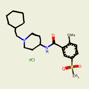 COc1ccc(S(C)(=O)=O)cc1C(=O)NC1CCN(CC2CCCCC2)CC1.Cl